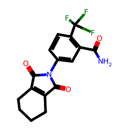 NC(=O)c1cc(N2C(=O)C3=C(CCCC3)C2=O)ccc1C(F)(F)F